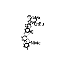 CNCc1ccccc1[C@H]1CC[C@H](Cc2cc(Cl)cc(O[C@H]3C[C@@H](C(=O)OC)N(C(=O)OC(C)(C)C)C3)c2)CC1